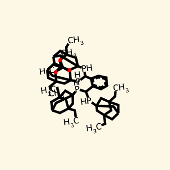 CCC12CC3CC(CC)(C1)CC(PC(PC14CC5CC(CC)(CC(CC)(C5)C1)C4)c1ccccc1C(PC14CC5CC(CC)(CC(CC)(C5)C1)C4)PC14CC5CC(CC)(CC(CC)(C5)C1)C4)(C3)C2